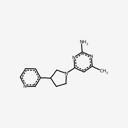 Cc1cc(N2CCC(c3cccnc3)C2)nc(N)n1